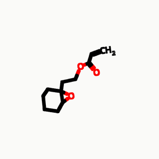 C=CC(=O)OCCC12CCCCC1O2